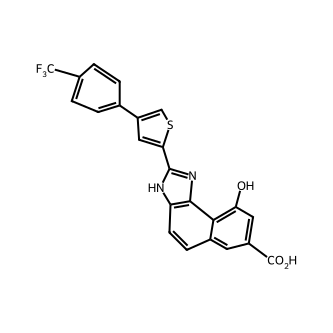 O=C(O)c1cc(O)c2c(ccc3[nH]c(-c4cc(-c5ccc(C(F)(F)F)cc5)cs4)nc32)c1